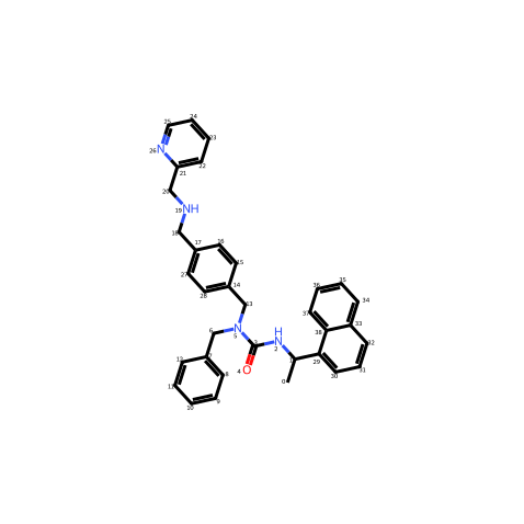 CC(NC(=O)N(Cc1ccccc1)Cc1ccc(CNCc2ccccn2)cc1)c1cccc2ccccc12